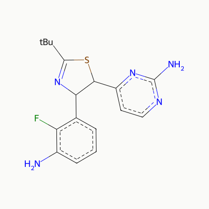 CC(C)(C)C1=NC(c2cccc(N)c2F)C(c2ccnc(N)n2)S1